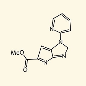 COC(=O)C1=NC2=NCN(c3ccccn3)C2=C1